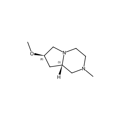 CO[C@@H]1C[C@H]2CN(C)CCN2C1